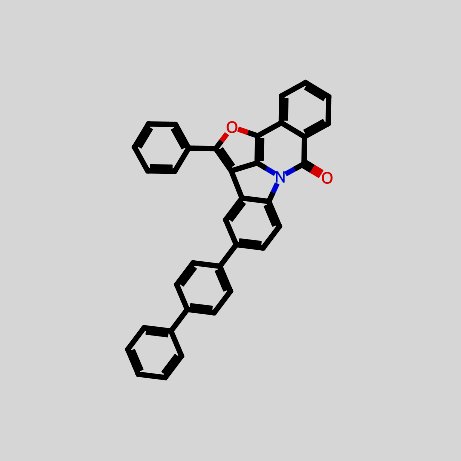 O=c1c2ccccc2c2oc(-c3ccccc3)c3c4cc(-c5ccc(-c6ccccc6)cc5)ccc4n1c23